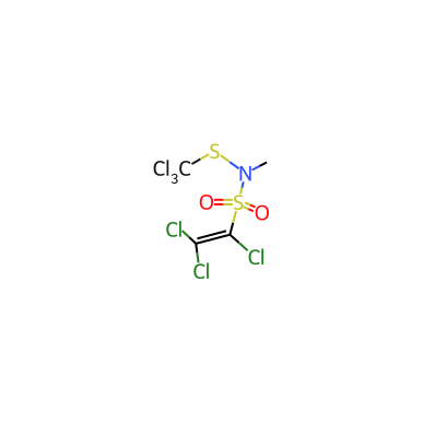 CN(SC(Cl)(Cl)Cl)S(=O)(=O)C(Cl)=C(Cl)Cl